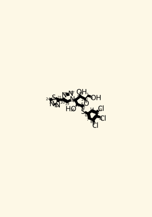 OC[C@H]1O[C@H](Sc2cc(Cl)c(Cl)c(Cl)c2)[C@H](O)[C@@H](n2cc(-c3nncs3)nn2)[C@H]1O